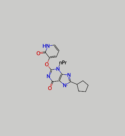 CCCn1c(Oc2ccc[nH]c2=O)nc(=O)c2c1N=C(C1CCCC1)[N]2